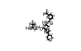 CCOc1nc(NC(=O)c2cccc(C(F)F)n2)cn2cc(C3CCOCC3)nc12.O=C(O)C(F)(F)F